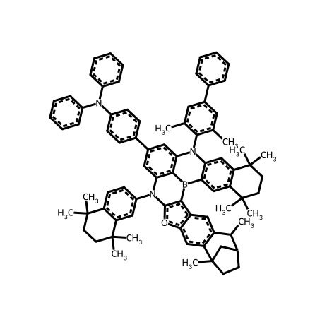 Cc1cc(-c2ccccc2)cc(C)c1N1c2cc3c(cc2B2c4c(cc(-c5ccc(N(c6ccccc6)c6ccccc6)cc5)cc41)N(c1ccc4c(c1)C(C)(C)CCC4(C)C)c1oc4cc5c(cc4c12)C(C)C1CCC5(C)C1)C(C)(C)CCC3(C)C